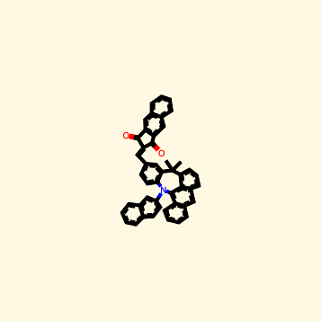 CC1(C)c2cc(C=C3C(=O)c4cc5ccccc5cc4C3=O)ccc2N(c2ccc3ccccc3c2)c2c3ccccc3cc3cccc1c23